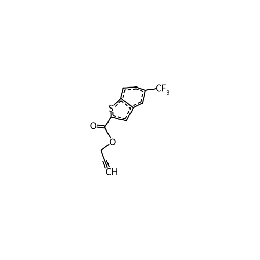 C#CCOC(=O)c1cc2cc(C(F)(F)F)ccc2s1